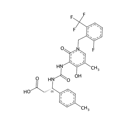 Cc1ccc([C@H](CC(=O)O)NC(=O)Nc2c(O)c(C)cn(Cc3c(F)cccc3C(F)(F)F)c2=O)cc1